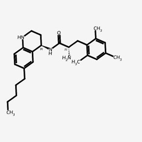 CCCCCc1ccc2c(c1)[C@H](NC(=O)[C@@H](N)Cc1c(C)cc(C)cc1C)CCN2